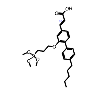 CCCCCc1ccc(-c2ccc(/C=C/C(=O)O)cc2OCCC[Si](OC)(OC)OC)cc1